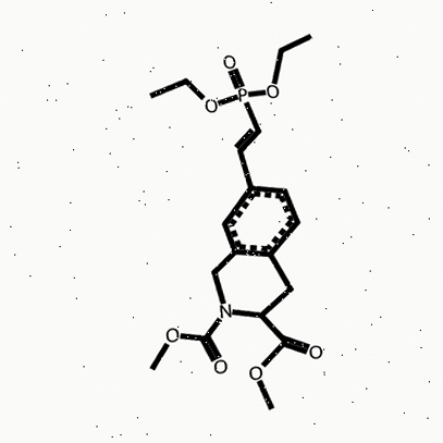 CCOP(=O)(C=Cc1ccc2c(c1)CN(C(=O)OC)C(C(=O)OC)C2)OCC